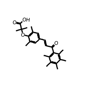 Cc1cc(C=CC(=O)c2c(C)c(C)c(C)c(C)c2C)cc(C)c1OC(C)(C)C(=O)O